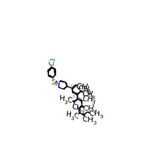 C=C(C)C(=C\C(=C/C)C1CCN(Sc2ccc(Cl)cc2)CC1)/C(=C(\C)C(=C)/C=C(/C)C(C)CC)C(C)C